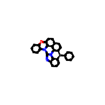 c1ccc(B2c3cccc4nc5n(c34)c3c2ccc2ccc4oc6ccccc6n5c4c23)cc1